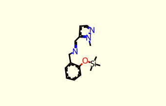 Cn1nccc1C=NCc1ccccc1O[Si](C)(C)C